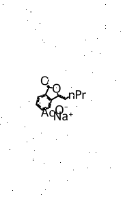 CC(=O)[O-].CCCC=C1OC(=O)c2ccccc21.[Na+]